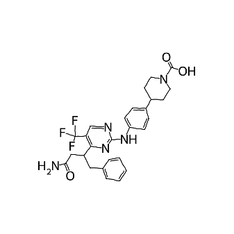 NC(=O)CC(Cc1ccccc1)c1nc(Nc2ccc(C3CCN(C(=O)O)CC3)cc2)ncc1C(F)(F)F